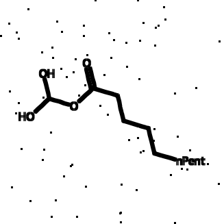 CCCCCCCCCC(=O)OC(O)O